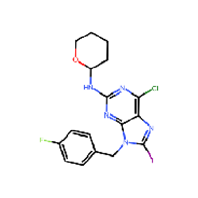 Fc1ccc(Cn2c(I)nc3c(Cl)nc(NC4CCCCO4)nc32)cc1